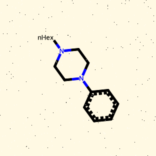 CCCCCCN1CCN(c2cc[c]cc2)CC1